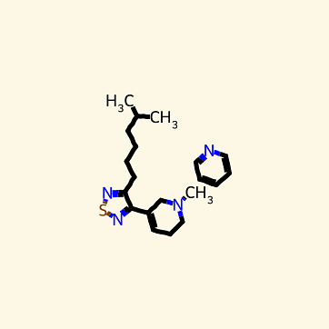 CC(C)CCCCc1nsnc1C1=CCCN(C)C1.c1ccncc1